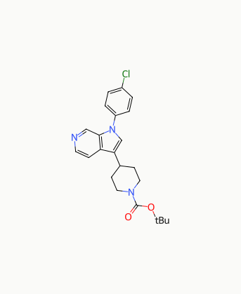 CC(C)(C)OC(=O)N1CCC(c2cn(-c3ccc(Cl)cc3)c3cnccc23)CC1